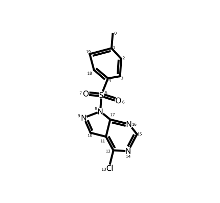 Cc1ccc(S(=O)(=O)n2ncc3c(Cl)ncnc32)cc1